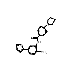 Nc1ccc(-c2cccs2)cc1NC(=O)c1ccc(N2CCCC2)cc1